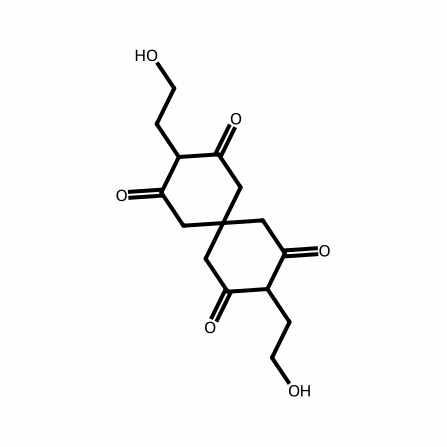 O=C1CC2(CC(=O)C1CCO)CC(=O)C(CCO)C(=O)C2